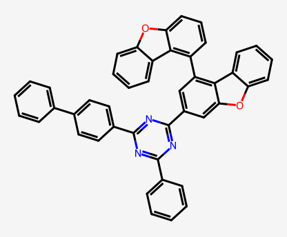 c1ccc(-c2ccc(-c3nc(-c4ccccc4)nc(-c4cc(-c5cccc6oc7ccccc7c56)c5c(c4)oc4ccccc45)n3)cc2)cc1